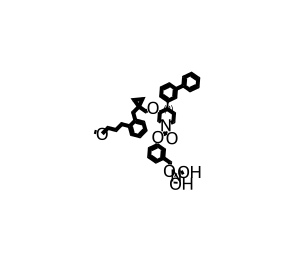 COCCCc1ccccc1CC1(COC2CN(C(=O)Oc3cccc(CON(O)O)c3)CC[C@@H]2c2cccc(-c3ccccc3)c2)CC1